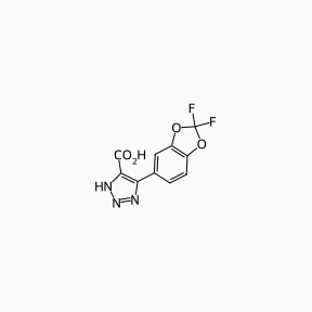 O=C(O)c1[nH]nnc1-c1ccc2c(c1)OC(F)(F)O2